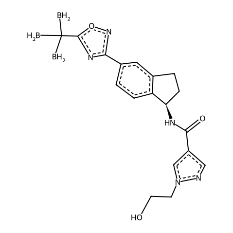 BC(B)(B)c1nc(-c2ccc3c(c2)CC[C@H]3NC(=O)c2cnn(CCO)c2)no1